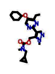 CCc1nc(-c2cnn(C)c2COC(=O)N(C)CC2CC2)ncc1OC1CCCCC1